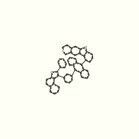 c1ccc(-c2oc3ccc4ccccc4c3c2-c2cccc(-c3c4ccccc4c(-c4cccc5oc6cc7ccccc7cc6c45)c4ccccc34)c2)cc1